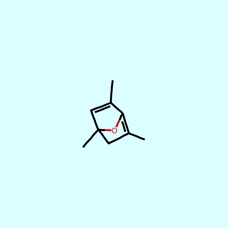 CC1=CC2(C)CC(C)=C1O2